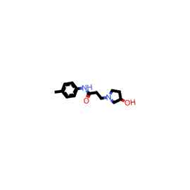 Cc1ccc(NC(=O)CCN2CCC(O)C2)cc1